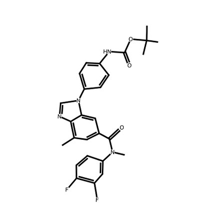 Cc1cc(C(=O)N(C)c2ccc(F)c(F)c2)cc2c1ncn2-c1ccc(NC(=O)OC(C)(C)C)cc1